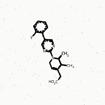 CC1C(CC(=O)O)=CCN(c2ncc(-c3ccccc3F)cn2)C1C